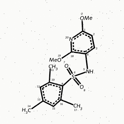 COc1ccc(NS(=O)(=O)c2c(C)cc(C)cc2C)c(OC)n1